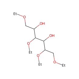 CCOCC(O)C(OCC)C(O)C(COCC)OCC